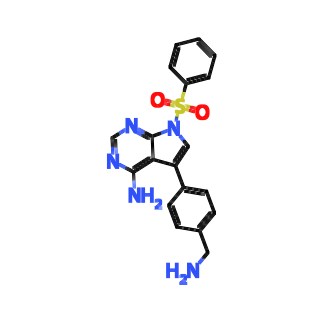 NCc1ccc(-c2cn(S(=O)(=O)c3ccccc3)c3ncnc(N)c23)cc1